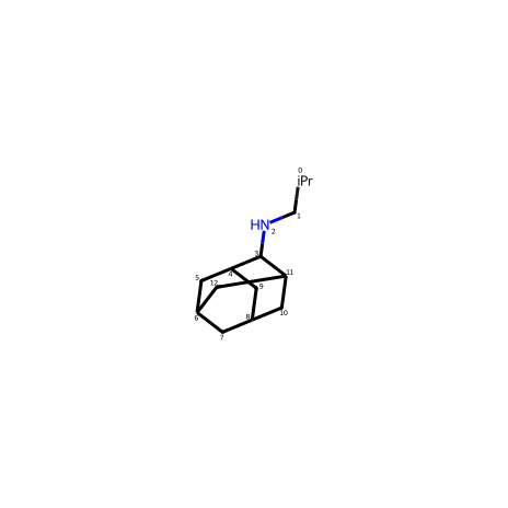 CC(C)CNC1C2CC3CC(C2)CC1C3